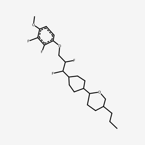 CCCC1CCC(C2CCC(C(F)C(F)COc3ccc(OC)c(F)c3F)CC2)OC1